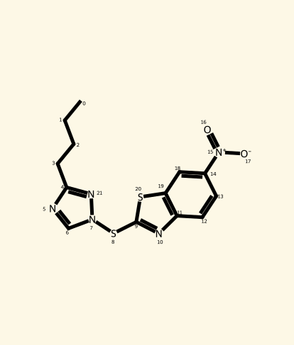 CCCCc1ncn(Sc2nc3ccc([N+](=O)[O-])cc3s2)n1